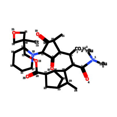 CCCCN(CCCC)C(=O)C(C(C(=O)O)C1C(=O)C(N2CCCCC2)C(=O)C1C)C1C(C)C2CC(C(=O)OCC3(CC)COC3)C1C2